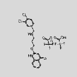 O=C(O)C(F)(F)F.O=C(O)C(F)(F)F.O=c1cc(OCCCNCc2ccc(Cl)c(Cl)c2)[nH]c2ccccc12